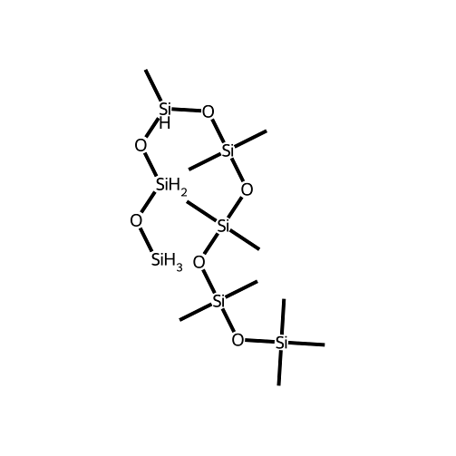 C[SiH](O[SiH2]O[SiH3])O[Si](C)(C)O[Si](C)(C)O[Si](C)(C)O[Si](C)(C)C